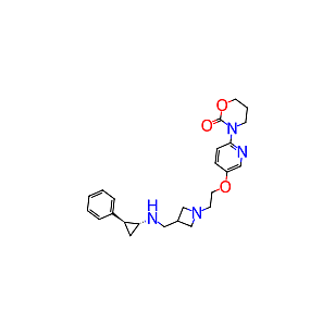 O=C1OCCCN1c1ccc(OCCN2CC(CN[C@@H]3C[C@H]3c3ccccc3)C2)cn1